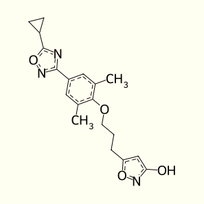 Cc1cc(-c2noc(C3CC3)n2)cc(C)c1OCCCc1cc(O)no1